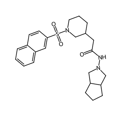 O=C(CC1CCCN(S(=O)(=O)c2ccc3ccccc3c2)C1)NN1CC2CCCC2C1